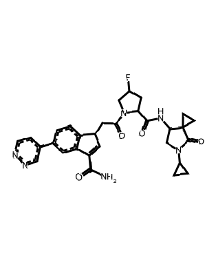 NC(=O)C1=CC(CC(=O)N2CC(F)CC2C(=O)NC2CN(C3CC3)C(=O)C23CC3)c2ccc(-c3ccnnc3)cc21